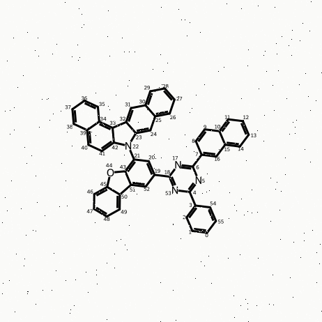 c1ccc(-c2nc(-c3ccc4ccccc4c3)nc(-c3cc(-n4c5cc6ccccc6cc5c5c6ccccc6ccc54)c4oc5ccccc5c4c3)n2)cc1